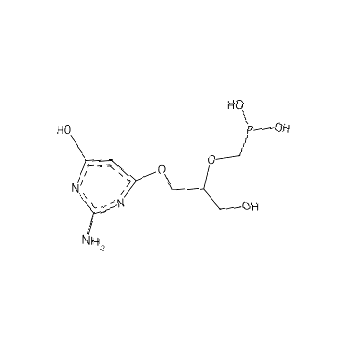 Nc1nc(O)cc(OCC(CO)OCP(O)O)n1